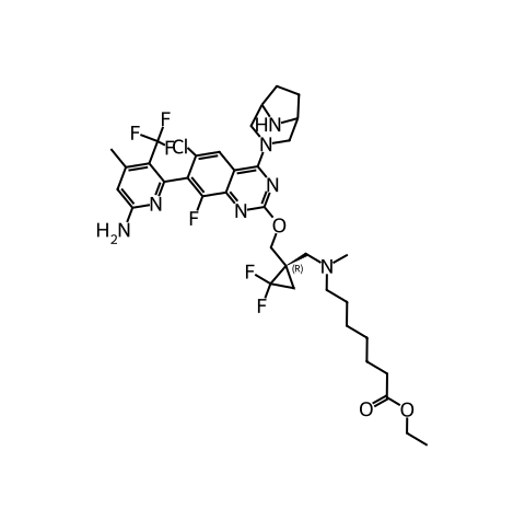 CCOC(=O)CCCCCCN(C)C[C@@]1(COc2nc(N3CC4CCC(C3)N4)c3cc(Cl)c(-c4nc(N)cc(C)c4C(F)(F)F)c(F)c3n2)CC1(F)F